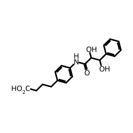 O=C(O)CCCc1ccc(NC(=O)C(O)C(O)c2ccccc2)cc1